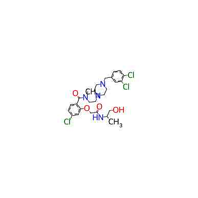 CC(CO)NC(=O)COc1cc(Cl)ccc1C(=O)N(C)CCN1CCN(Cc2ccc(Cl)c(Cl)c2)CC1